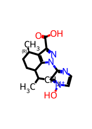 CC(C)C1CC[C@@H](C)c2c(C(=O)O)nn(-c3c[n+](O)ccn3)c21